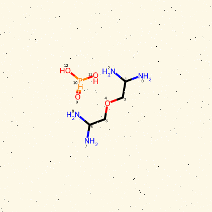 NC(N)COCC(N)N.O=[PH](O)O